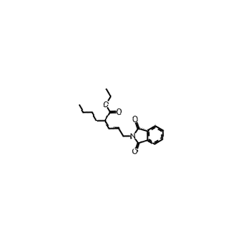 CCCC[C](CCCN1C(=O)c2ccccc2C1=O)C(=O)OCC